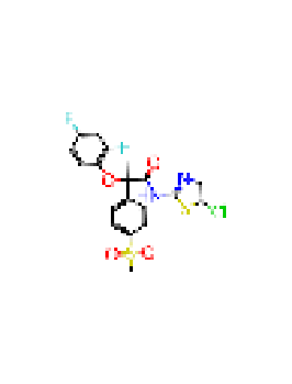 CC(Oc1ccc(F)cc1F)(C(=O)NC1=NCC(Cl)S1)c1ccc(S(C)(=O)=O)cc1